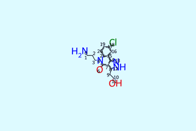 NCCCn1c(=O)c2c(CCO)[nH]nc2c2cc(Cl)ccc21